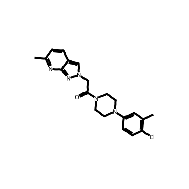 Cc1ccc2cn(CC(=O)N3CCN(c4ccc(Cl)c(C)c4)CC3)nc2n1